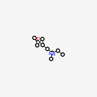 c1ccc(-c2cccc(-c3cc(-c4ccc(-c5ccc6c(c5)-c5ccccc5C65c6ccccc6-c6c5oc5ccccc65)cc4)nc(-c4ccccc4)n3)c2)cc1